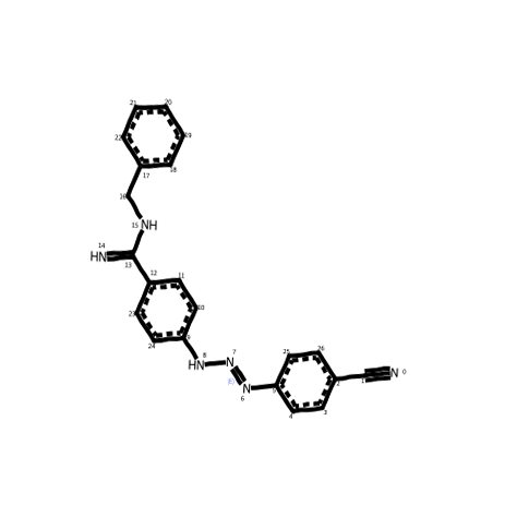 N#Cc1ccc(/N=N/Nc2ccc(C(=N)NCc3ccccc3)cc2)cc1